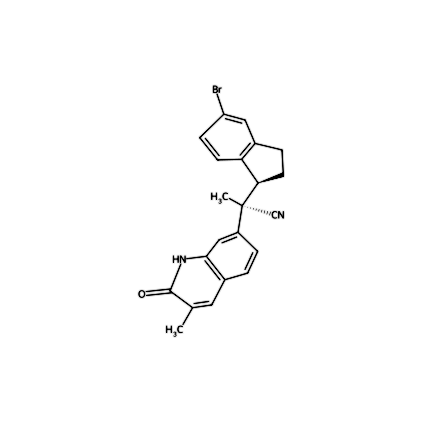 Cc1cc2ccc([C@](C)(C#N)[C@@H]3CCc4cc(Br)ccc43)cc2[nH]c1=O